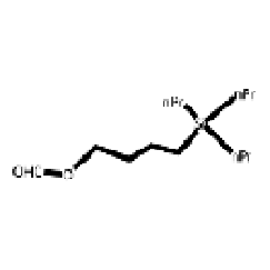 CCC[Si](CCC)(CCC)CCCCOC=O